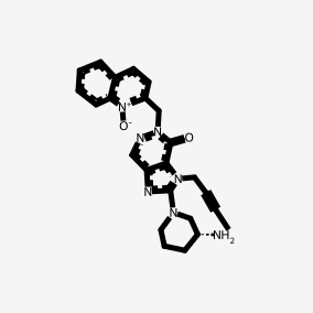 CC#CCn1c(N2CCC[C@@H](N)C2)nc2cnn(Cc3ccc4ccccc4[n+]3[O-])c(=O)c21